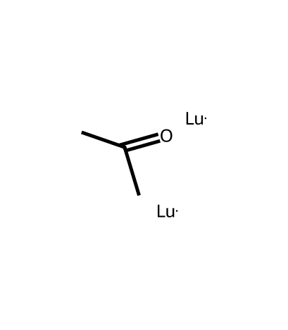 CC(C)=O.[Lu].[Lu]